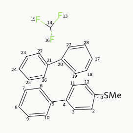 CSc1ccc(-c2ccccc2)cc1.FC(F)F.c1ccc(-c2ccccc2)cc1